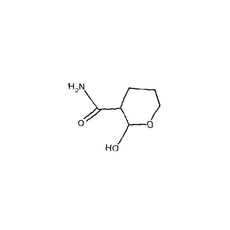 NC(=O)C1CCCOC1O